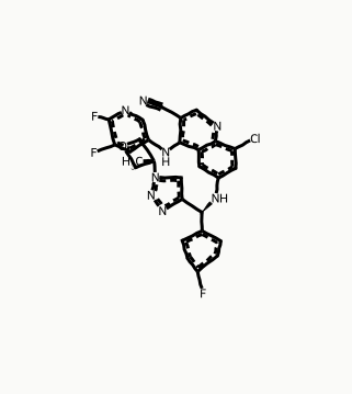 CC1(n2cc([C@@H](Nc3cc(Cl)c4ncc(C#N)c(Nc5cnc(F)c(F)c5)c4c3)c3ccc(F)cc3)nn2)COC1